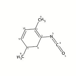 CC1=C(N=C=O)CC(C)C=C1